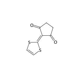 O=C1CCC(=O)C1=C1SC=CS1